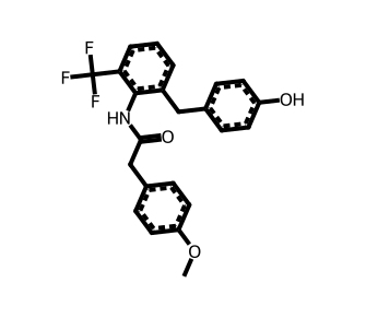 COc1ccc(CC(=O)Nc2c(Cc3ccc(O)cc3)cccc2C(F)(F)F)cc1